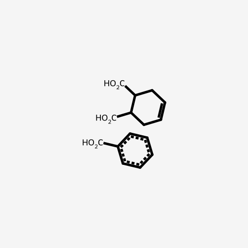 O=C(O)C1CC=CCC1C(=O)O.O=C(O)c1ccccc1